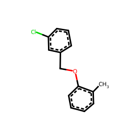 Cc1ccccc1OCc1cccc(Cl)c1